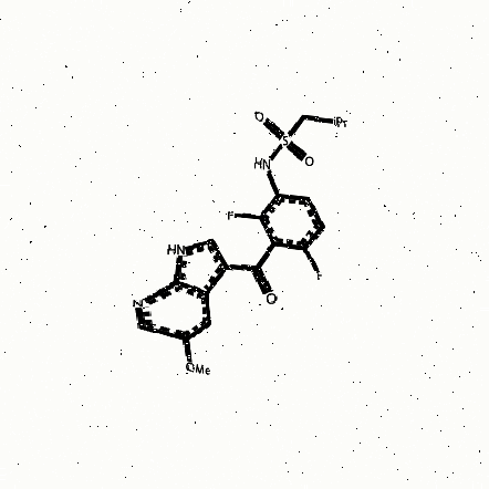 COc1cnc2[nH]cc(C(=O)c3c(F)ccc(NS(=O)(=O)CC(C)C)c3F)c2c1